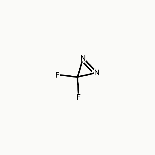 FC1(F)N=N1